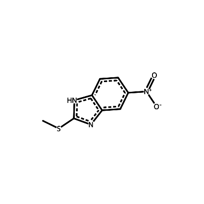 CSc1nc2cc([N+](=O)[O-])ccc2[nH]1